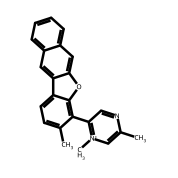 Cc1c[n+](C)c(-c2c(C)ccc3c2oc2cc4ccccc4cc23)cn1